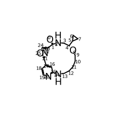 O=C1NCC(C2CC2)OCCCCCNc2cc(ccn2)-c2nc1co2